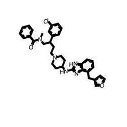 CN(CC(CCN1CCC(Nc2nc3c(Cc4ccoc4)cccc3[nH]2)CC1)c1cccc(Cl)c1)C(=O)c1ccccc1